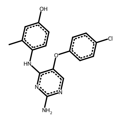 Cc1cc(O)ccc1Nc1nc(N)ncc1Oc1ccc(Cl)cc1